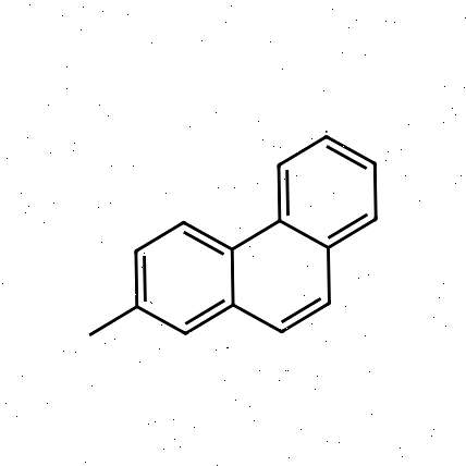 Cc1ccc2c(ccc3cc[c]cc32)c1